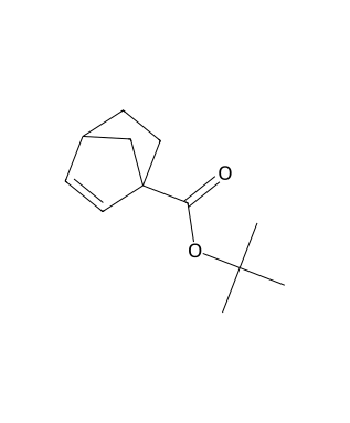 CC(C)(C)OC(=O)C12C=CC(CC1)C2